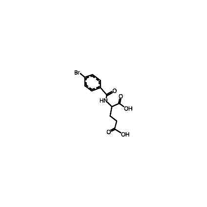 O=C(O)CCC(NC(=O)c1ccc(Br)cc1)C(=O)O